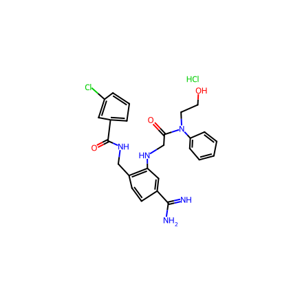 Cl.N=C(N)c1ccc(CNC(=O)c2cccc(Cl)c2)c(NCC(=O)N(CCO)c2ccccc2)c1